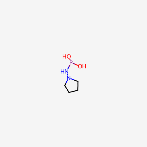 OP(O)NN1CCCC1